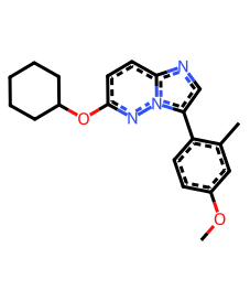 COc1ccc(-c2cnc3ccc(OC4CCCCC4)nn23)c(C)c1